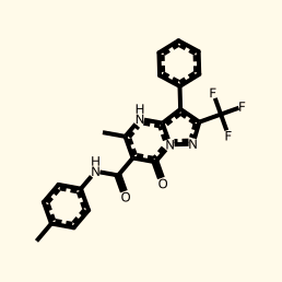 Cc1ccc(NC(=O)c2c(C)[nH]c3c(-c4ccccc4)c(C(F)(F)F)nn3c2=O)cc1